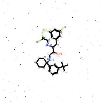 CC(C)(C)c1cccc(C2(NCC(O)C(Cc3cc(F)cc(F)c3)NCC(F)F)CCCCC2)c1